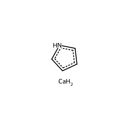 [CaH2].c1cc[nH]c1